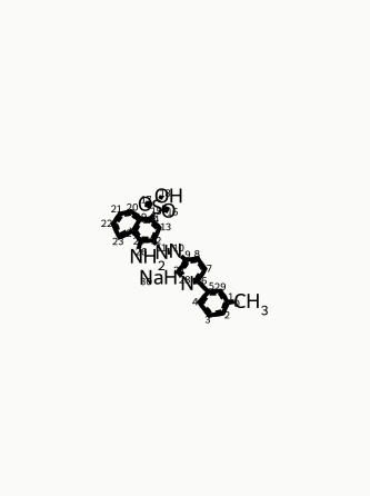 Cc1cccc(-c2ccc(N=Nc3cc(S(=O)(=O)O)c4ccccc4c3N)cn2)c1.[NaH]